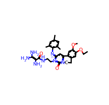 CCOc1cc2c(cc1OC)-c1c/c(=N\c3c(C)cc(C)cc3C)n(CCNC(=O)C(N)=C(N)N)c(=O)n1CC2